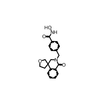 O=C(NO)c1ccc(CN2CC3(CCOC3)c3ccccc3C2=O)cc1